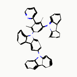 Cc1c(-n2c3ccccc3c3ccccc32)cc(-n2c3ccccc3c3cc(-n4c5ccccc5c5ccccc54)ccc32)c(C)c1-c1ccccn1